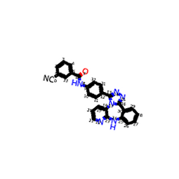 N#Cc1cccc(C(=O)Nc2ccc(-c3nnc4n3-c3cccnc3Nc3ccccc3-4)cc2)c1